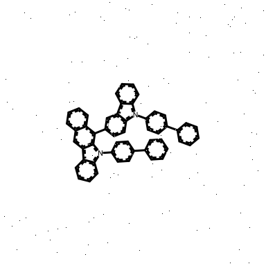 c1ccc(-c2ccc(-n3c4ccccc4c4cc(-c5c6ccccc6cc6c7ccccc7n(-c7ccc(-c8ccccc8)cc7)c56)ccc43)cc2)cc1